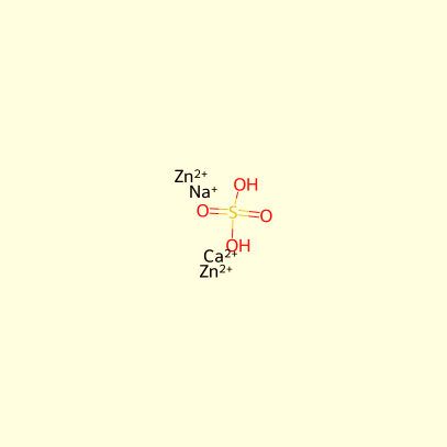 O=S(=O)(O)O.[Ca+2].[Na+].[Zn+2].[Zn+2]